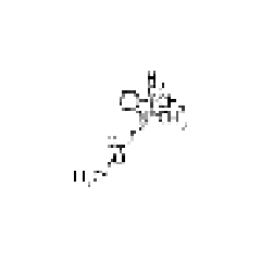 C=CCOC(=O)CCC[N+]1=C(C)C(C)(C)c2ccccc21